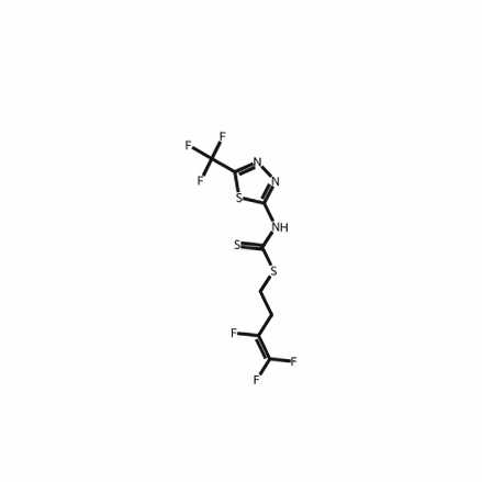 FC(F)=C(F)CCSC(=S)Nc1nnc(C(F)(F)F)s1